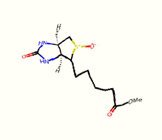 COC(=O)CCCCC1[C@H]2NC(=O)N[C@H]2C[S+]1[O-]